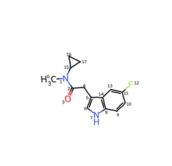 CN(C(=O)Cc1c[nH]c2ccc(F)cc12)C1CC1